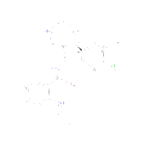 CSNc1ccccc1C(=O)NC[C@@H]1CNCCO[C@H]1c1ccc(Cl)c(F)c1